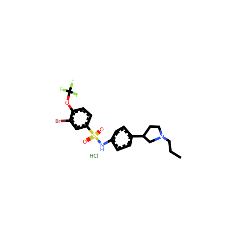 CCCN1CCC(c2ccc(NS(=O)(=O)c3ccc(OC(F)(F)F)c(Br)c3)cc2)C1.Cl